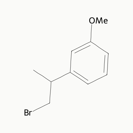 COc1cccc(C(C)CBr)c1